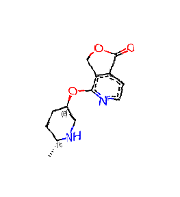 C[C@@H]1CC[C@@H](Oc2nccc3c2COC3=O)CN1